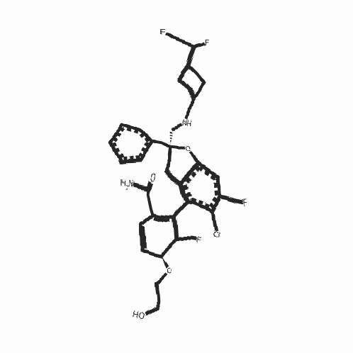 NC(=O)C1=C(c2c(Cl)c(F)cc3c2C[C@@](CNC2CC(C(F)F)C2)(c2ccccc2)O3)C(F)[C@@H](OCCO)C=C1